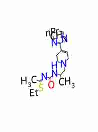 CCC/C=N\C(=N/C)C1=CCN(CC(C)NC(=O)/N=C(/C)SCC)CC1